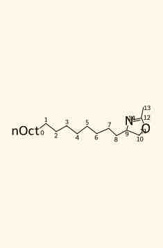 CCCCCCCCCCCCCCCCC1COC(C)=N1